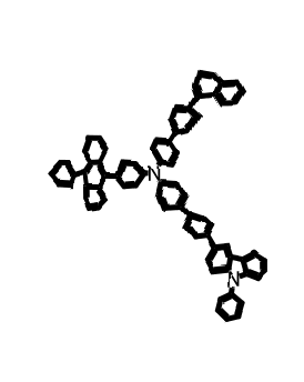 c1ccc(-c2c3ccccc3c(-c3ccc(N(c4ccc(-c5ccc(-c6ccc7c(c6)c6ccccc6n7-c6ccccc6)cc5)cc4)c4ccc(-c5ccc(-c6cccc7ccccc67)cc5)cc4)cc3)c3ccccc23)cc1